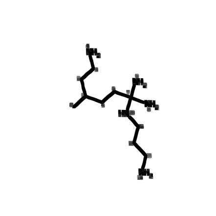 CC(CCN)CCC(N)(N)NCCCN